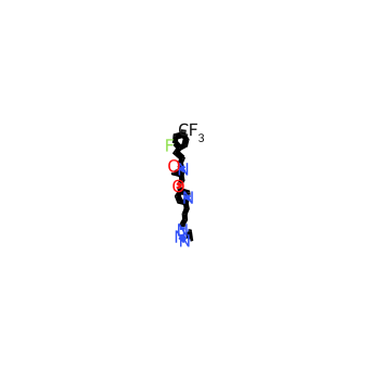 Fc1cc(C(F)(F)F)ccc1C=Cc1nc(COc2ccc(CCCCn3ccnn3)nc2)co1